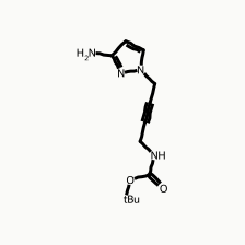 CC(C)(C)OC(=O)NCC#CCn1ccc(N)n1